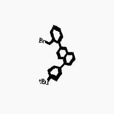 CC(C)(C)c1ccc(-c2cccc3cc(-c4ccccc4CBr)ccc23)cc1